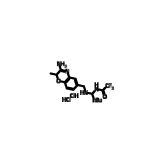 CCCCC(NCc1ccc2c(c1)N=C(N)C(C)O2)NC(=O)C(F)(F)F.Cl.Cl